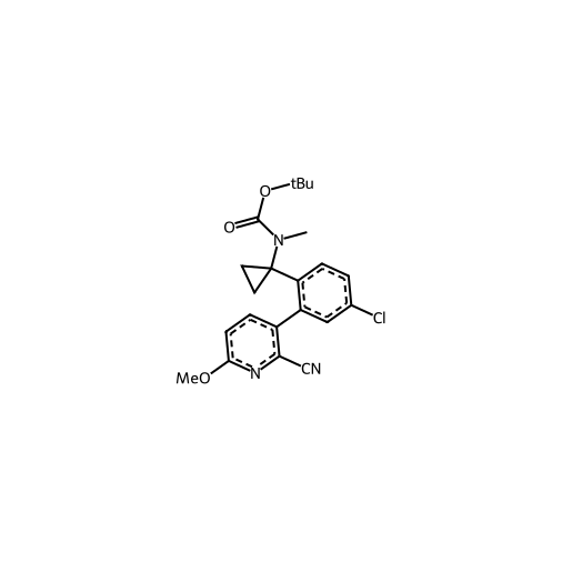 COc1ccc(-c2cc(Cl)ccc2C2(N(C)C(=O)OC(C)(C)C)CC2)c(C#N)n1